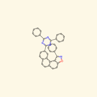 c1ccc(-c2nc(-c3ccccc3)nc(-c3ccc4ccc5ccc6onc(-c7ccccc7)c6c5c4c3)n2)cc1